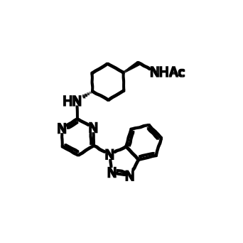 CC(=O)NC[C@H]1CC[C@H](Nc2nccc(-n3nnc4ccccc43)n2)CC1